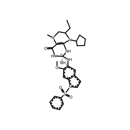 CCC1CN(C)C2=C(N[C@@](N)(Nc3cc4ccn(S(=O)(=O)c5ccccc5)c4cc3OC)NC2=O)N1C1CCCC1